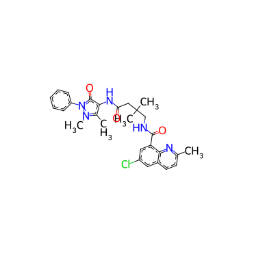 Cc1ccc2cc(Cl)cc(C(=O)NCC(C)(C)CC(=O)Nc3c(C)n(C)n(-c4ccccc4)c3=O)c2n1